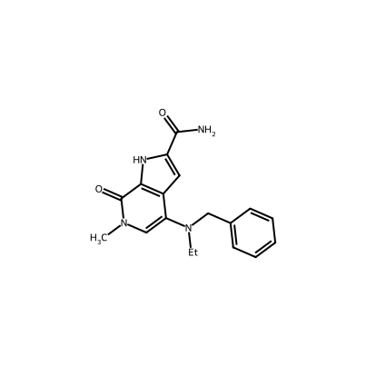 CCN(Cc1ccccc1)c1cn(C)c(=O)c2[nH]c(C(N)=O)cc12